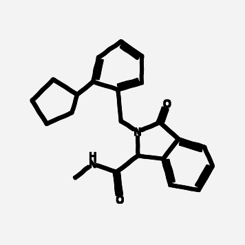 CNC(=O)C1c2ccccc2C(=O)N1Cc1ccccc1C1CCCC1